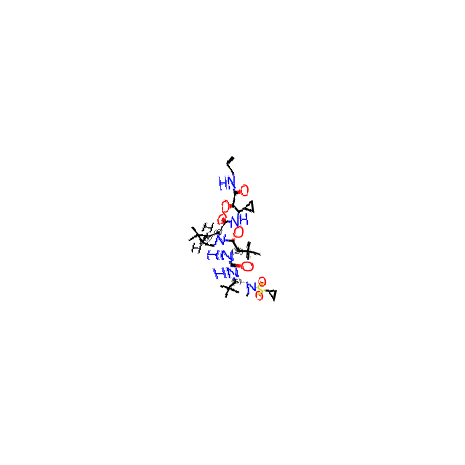 C=CCNC(=O)C(=O)C(NC(=O)[C@@H]1[C@@H]2[C@H](CN1C(=O)[C@@H](NC(=O)N[C@H](CN(C)S(=O)(=O)C1CC1)C(C)(C)C)C(C)(C)C)C2(C)C)C1CC1